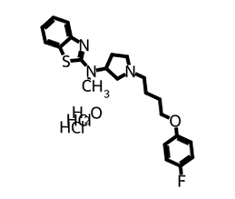 CN(c1nc2ccccc2s1)C1CCN(CCCCOc2ccc(F)cc2)C1.Cl.Cl.O